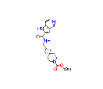 CC(C)(C)OC(=O)N1CCC2(CC1)CC(CNC(=O)c1cc3cnccc3[nH]1)C2